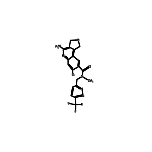 CN(Cc1ccc(C(F)(F)F)nn1)C(=O)c1cc2c3c(c(N)nc2cc1Cl)COC3